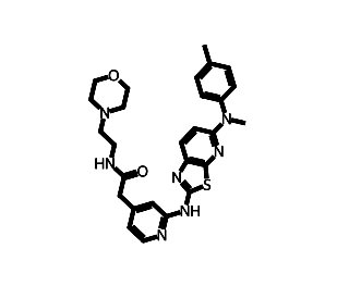 Cc1ccc(N(C)c2ccc3nc(Nc4cc(CC(=O)NCCN5CCOCC5)ccn4)sc3n2)cc1